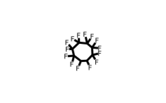 FC1C(F)C(F)(F)C(F)(F)C(F)(F)C(F)(F)C(F)(F)C1(F)F